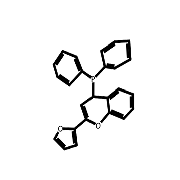 C1=C(c2ccco2)Oc2ccccc2C1P(c1ccccc1)c1ccccc1